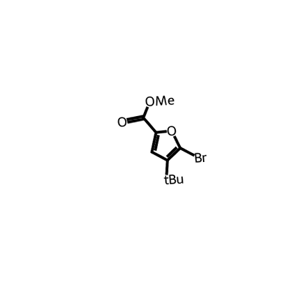 COC(=O)c1cc(C(C)(C)C)c(Br)o1